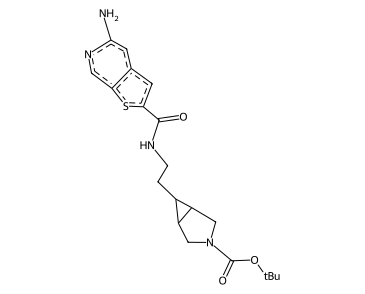 CC(C)(C)OC(=O)N1CC2C(CCNC(=O)c3cc4cc(N)ncc4s3)C2C1